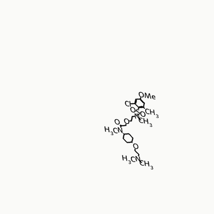 COc1cc(C)c(S(=O)(=O)N(C)CCOCC(=O)N(C)[C@H]2CC[C@@H](OCCN(C)C)CC2)c(Cl)c1